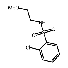 COCCNS(=O)(=O)c1ccccc1Cl